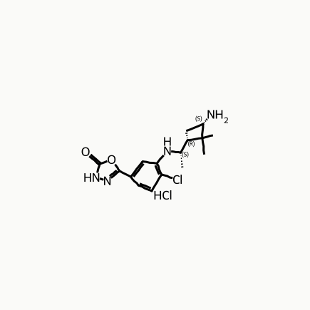 C[C@H](Nc1cc(-c2n[nH]c(=O)o2)ccc1Cl)[C@@H]1C[C@H](N)C1(C)C.Cl